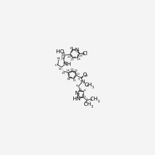 CC(C)c1cc(CN(C)C(=O)c2ccc(C[C@@H]3CC[C@H]([C@H](O)c4ccc(Cl)nc4)N3)cc2)n[nH]1